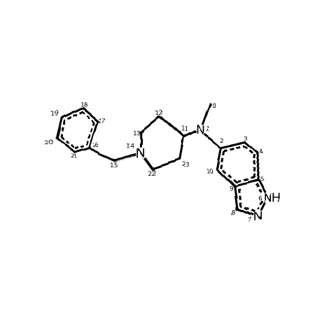 CN(c1ccc2[nH]ncc2c1)C1CCN(Cc2ccccc2)CC1